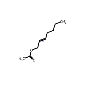 CCCC/C=C/COC(C)=O